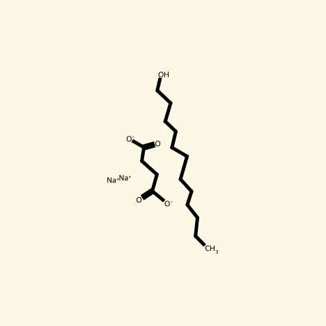 CCCCCCCCCCCCO.O=C([O-])CCC(=O)[O-].[Na+].[Na+]